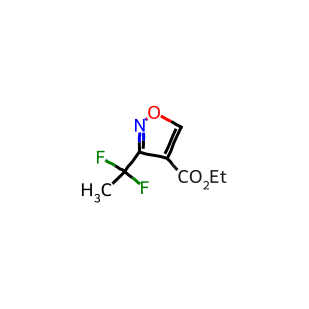 CCOC(=O)c1conc1C(C)(F)F